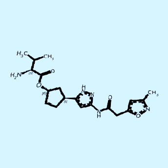 Cc1cc(CC(=O)Nc2cc([C@H]3CC[C@@H](OC(=O)[C@@H](N)C(C)C)C3)[nH]n2)on1